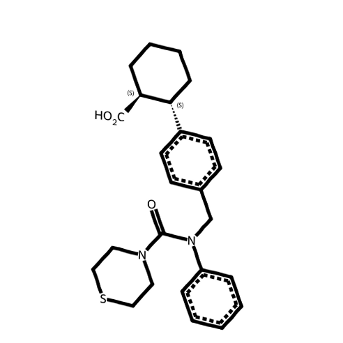 O=C(O)[C@H]1CCCC[C@@H]1c1ccc(CN(C(=O)N2CCSCC2)c2ccccc2)cc1